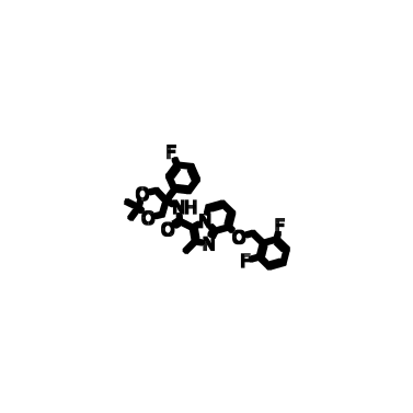 Cc1nc2c(OCc3c(F)cccc3F)cccn2c1C(=O)NC1(c2cccc(F)c2)COC(C)(C)OC1